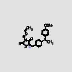 C=COON1C(=O)/C(=C\c2ccc(N(C)c3ccc(OC)cc3)cc2)SC1=S